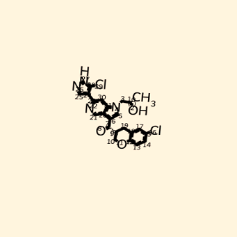 C[C@H](O)Cn1cc(C(=O)[C@H]2COc3ccc(Cl)cc3C2)c2cnc(-c3cn[nH]c3Cl)cc21